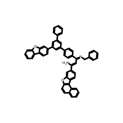 N/C(=C\C(=N/Cc1ccccc1)c1ccc(-c2cc(-c3ccccc3)cc(-c3ccc4c(c3)oc3ccccc34)c2)cc1)c1ccc2c(c1)oc1ccc3ccccc3c12